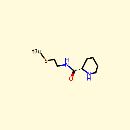 CC(C)(C)SCCNC(=O)[C@@H]1CCCCN1